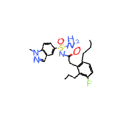 CCCc1ccc(F)c(CCC)c1CC(=O)N=S(N)(=O)c1ccc2c(cnn2C)c1